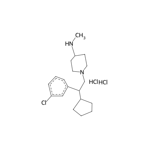 CNC1CCN(CC(c2cccc(Cl)c2)C2CCCC2)CC1.Cl.Cl